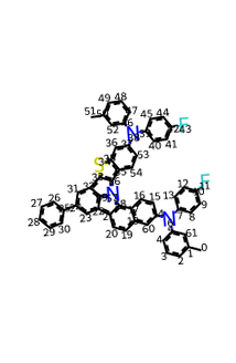 Cc1cccc(N(c2ccc(F)cc2)c2ccc3c(ccc4c5cc(-c6ccccc6)cc6c7sc8cc(N(c9ccc(F)cc9)c9cccc(C)c9)ccc8c7n(c34)c56)c2)c1